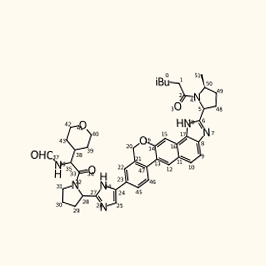 CCC(C)CC(=O)N1C(c2nc3ccc4cc5c(cc4c3[nH]2)OCc2cc(-c3cnc(C4CCCN4C(=O)C(NC=O)C4CCOCC4)[nH]3)ccc2-5)CC[C@@H]1C